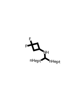 CCCCCCCC(CCCCCCC)NC1CC(F)(F)C1